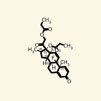 CCC(=O)OCC(=O)[C@]1(OC(=O)CC)[C@H](C)C[C@H]2[C@@H]3CCC4=CC(=O)C=C[C@]4(C)[C@@]3(F)C=C[C@@]21C